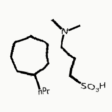 CCCC1CCCCCC1.CN(C)CCCS(=O)(=O)O